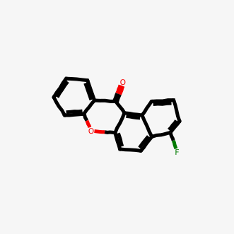 O=c1c2ccccc2oc2ccc3c(F)cccc3c12